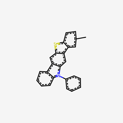 Cc1ccc2sc3cc4c5ccccc5n(-c5ccccc5)c4cc3c2c1